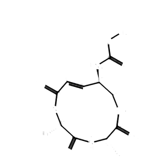 CC(C)[C@@H]1NC(=O)/C=C/[C@@H](NC(=O)OC(C)(C)C)COC(=O)[C@H](C)NC1=O